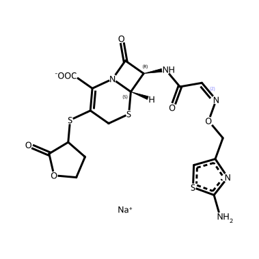 Nc1nc(CO/N=C\C(=O)N[C@@H]2C(=O)N3C(C(=O)[O-])=C(SC4CCOC4=O)CS[C@@H]23)cs1.[Na+]